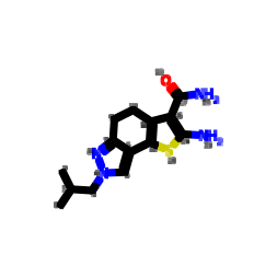 CC(C)Cn1cc2c(n1)CCc1c-2sc(N)c1C(N)=O